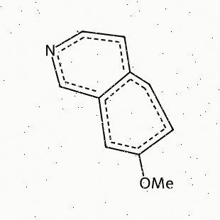 COc1ccc2c[c]ncc2c1